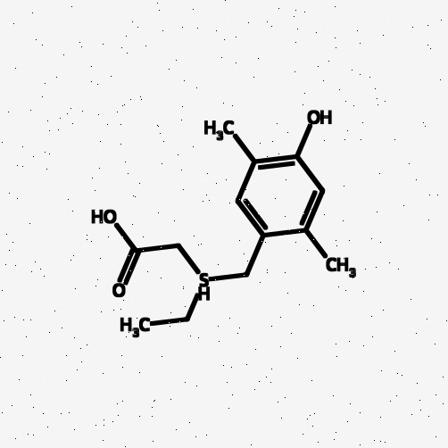 CC[SH](CC(=O)O)Cc1cc(C)c(O)cc1C